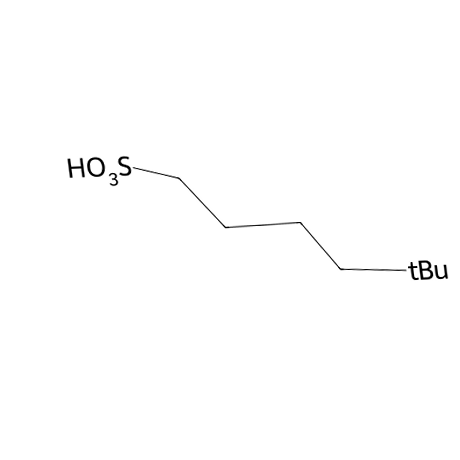 CC(C)(C)CCCCS(=O)(=O)O